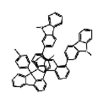 Cc1ccc(C2(c3ccc(C)cc3)c3ccccc3-c3cccc(-c4c5cccc(-c6ccc7c8ccccc8n(C)c7c6)c5cc5c(-c6ccc7c8ccccc8n(C)c7c6)cccc45)c32)cc1